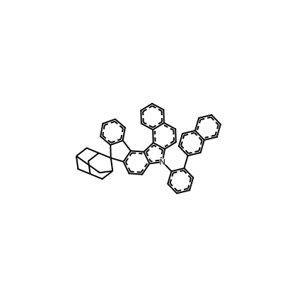 c1ccc(-n2c3ccc4c(c3c3c5ccccc5ccc32)-c2ccccc2C42C3CC4CC(C3)CC2C4)c(-c2ccc3ccccc3c2)c1